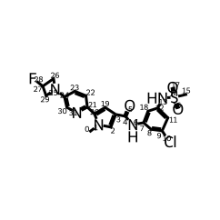 Cn1cc(C(=O)Nc2cc(Cl)cc(NS(C)(=O)=O)c2)cc1-c1ccc(N2CC(F)C2)cn1